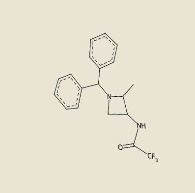 CC1C(NC(=O)C(F)(F)F)CN1C(c1ccccc1)c1ccccc1